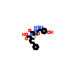 NC(C(=O)N[C@@H]1C(=O)N2C(C(=O)O)=C(/C=C\Cc3ccccc3)CS[C@H]12)c1ccc(O)cc1